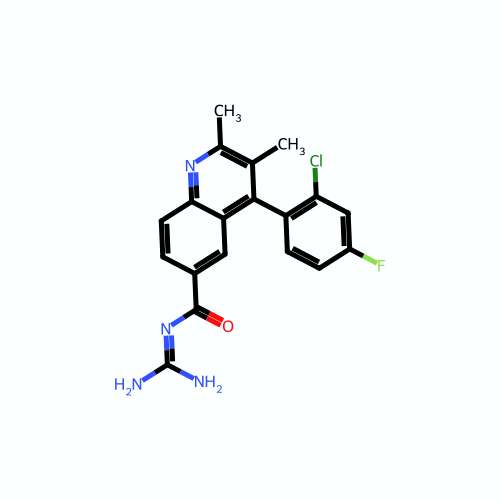 Cc1nc2ccc(C(=O)N=C(N)N)cc2c(-c2ccc(F)cc2Cl)c1C